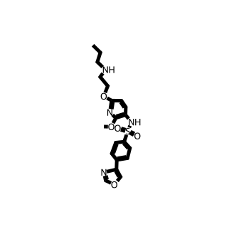 CCCNCCOc1ccc(NS(=O)(=O)c2ccc(-c3cocn3)cc2)c(OC)n1